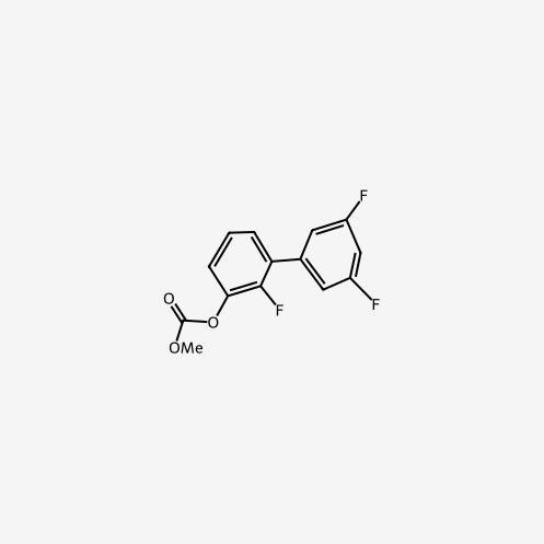 COC(=O)Oc1cccc(-c2cc(F)cc(F)c2)c1F